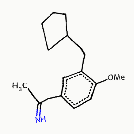 COc1ccc(C(C)=N)cc1CC1CCCC1